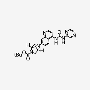 CC(C)(C)OC(=O)N1C[C@@H]2C[C@H]1CN2c1ccc2c(NC(=O)Nc3cnccn3)ccnc2c1